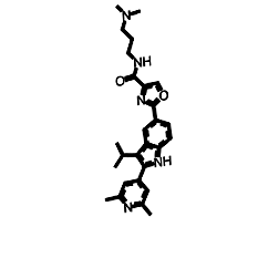 Cc1cc(-c2[nH]c3ccc(-c4nc(C(=O)NCCCN(C)C)co4)cc3c2C(C)C)cc(C)n1